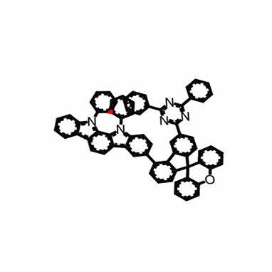 c1ccc(-c2nc(-c3ccccc3)nc(-c3ccc4c(c3)-c3c(-c5ccc6c(c5)c5ccc7c8ccccc8n(-c8ccccc8)c7c5n6-c5ccccc5)cccc3C43c4ccccc4Oc4ccccc43)n2)cc1